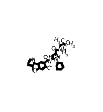 CC(C)(C)CNC(=O)c1cc(NC(=O)c2cc(-c3ncccc3F)c(Cl)cc2Cl)n(-c2ccccc2)n1